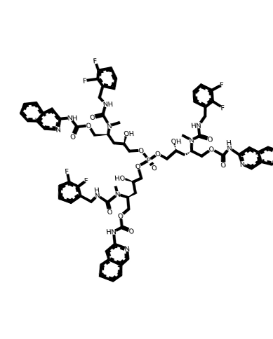 CN(C(=O)NCc1cccc(F)c1F)[C@H](COC(=O)Nc1cc2ccccc2cn1)C[C@@H](O)COP(=O)(OC[C@H](O)C[C@@H](COC(=O)Nc1cc2ccccc2cn1)N(C)C(=O)NCc1cccc(F)c1F)OC[C@H](O)C[C@@H](COC(=O)Nc1cc2ccccc2cn1)N(C)C(=O)NCc1cccc(F)c1F